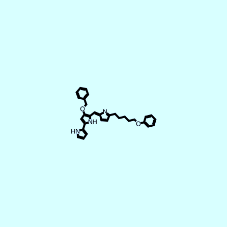 C1=C/C(=C\c2[nH]c(-c3ccc[nH]3)cc2OCc2ccccc2)N=C1CCCCCOc1ccccc1